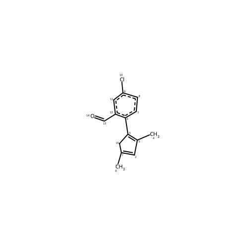 CC1=CC(C)=C(c2ccc(Cl)cc2C=O)C1